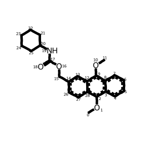 COc1c2ccccc2c(OC)c2cc(COC(=O)NC3CCCCC3)ccc12